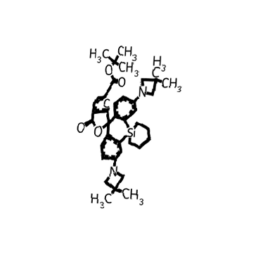 CC1(C)CN(c2ccc3c(c2)[Si]2(CCCCC2)c2cc(N4CC(C)(C)C4)ccc2C32OC(=O)c3ccc(C(=O)OC(C)(C)C)cc32)C1